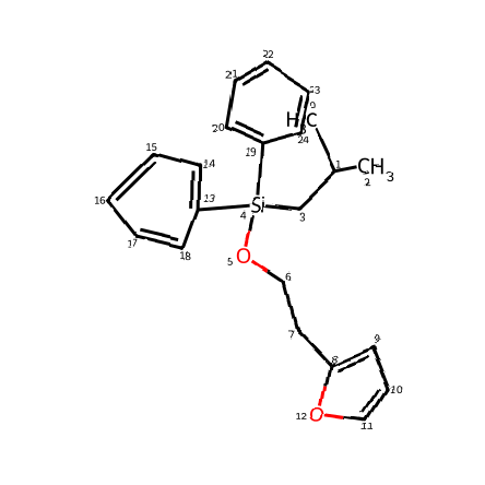 CC(C)C[Si](OCCc1ccco1)(c1ccccc1)c1ccccc1